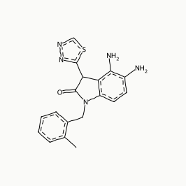 Cc1ccccc1CN1C(=O)C(c2nncs2)c2c1ccc(N)c2N